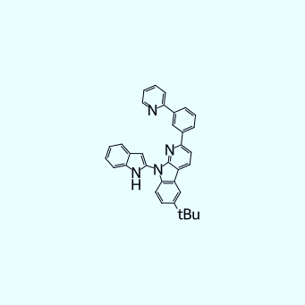 CC(C)(C)c1ccc2c(c1)c1ccc(-c3cccc(-c4ccccn4)c3)nc1n2-c1cc2ccccc2[nH]1